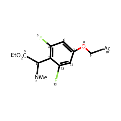 CCOC(=O)C(NC)c1c(F)cc(OCC(C)=O)cc1F